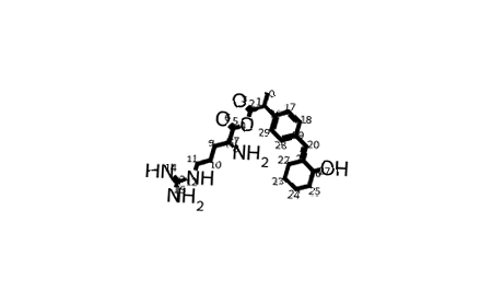 CC(C(=O)OC(=O)[C@@H](N)CCCNC(=N)N)c1ccc(C=C2CCCCC2O)cc1